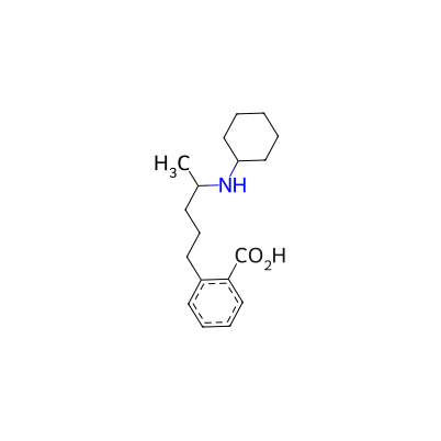 CC(CCCc1ccccc1C(=O)O)NC1CCCCC1